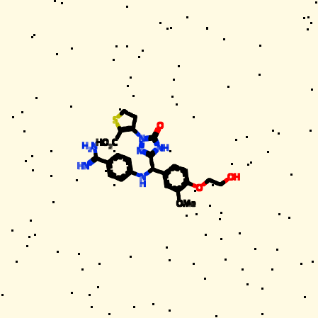 COc1cc(C(Nc2ccc(C(=N)N)cc2)c2nn(C3=C(C(=O)O)SCC3)c(=O)[nH]2)ccc1OCCO